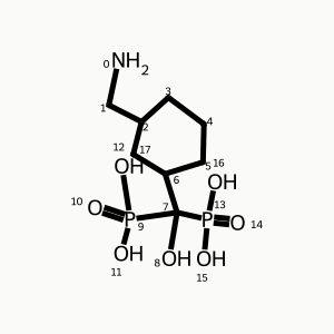 NCC1CCCC(C(O)(P(=O)(O)O)P(=O)(O)O)C1